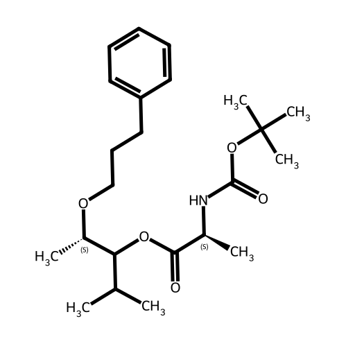 CC(C)C(OC(=O)[C@H](C)NC(=O)OC(C)(C)C)[C@H](C)OCCCc1ccccc1